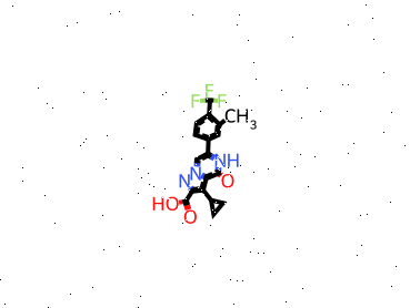 Cc1cc(-c2cn3nc(C(=O)O)c(C4CC4)c3c(=O)[nH]2)ccc1C(F)(F)F